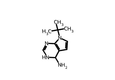 CC(C)(C)n1ccc2c1N=CNC2N